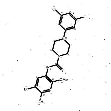 CCc1cc(NC(=O)N2CCN(c3cc(Cl)cc(Cl)c3)CC2)c(OC)nc1C